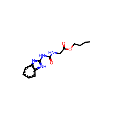 CCCCOC(=O)CNC(=O)Nc1nc2ccccc2[nH]1